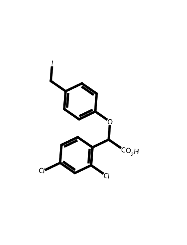 O=C(O)C(Oc1ccc(CI)cc1)c1ccc(Cl)cc1Cl